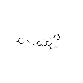 COc1c(C)cnc(CN2C(=O)C(=Cc3cc(C(=O)NCCN4CCC(=O)CC4)c[nH]3)c3c(Cl)nc(N)nc32)c1C